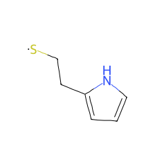 [S]CCc1ccc[nH]1